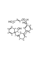 O=C(O)C=CC(=O)O.OCC1(CN2CCC=C(c3cccc(O)c3)C2)C=CC=CC1